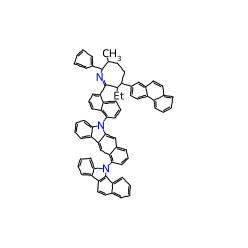 CCC1/C(c2cccc3c(-n4c5ccccc5c5cc6c(-n7c8ccccc8c8ccc9ccccc9c87)cccc6cc54)cccc23)=N\C(c2ccccc2)C(C)CCC1c1ccc2c(ccc3ccccc32)c1